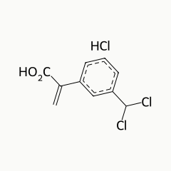 C=C(C(=O)O)c1cccc(C(Cl)Cl)c1.Cl